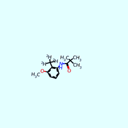 [2H]C([2H])([2H])c1c(NC(=O)C(C)(C)C)cccc1OC